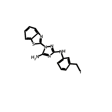 Nc1nc(Nc2cccc(CI)c2)nn1-c1nc2ccccc2s1